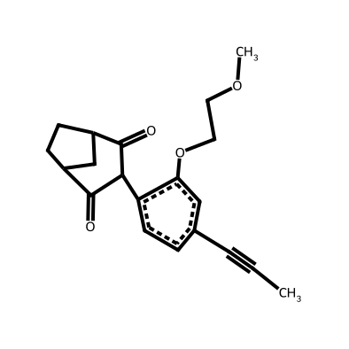 CC#Cc1ccc(C2C(=O)C3CCC(C3)C2=O)c(OCCOC)c1